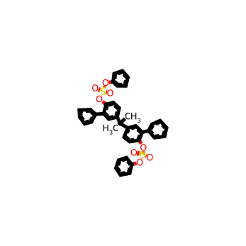 CC(C)(c1ccc(OS(=O)(=O)Oc2ccccc2)c(-c2ccccc2)c1)c1ccc(OS(=O)(=O)Oc2ccccc2)c(-c2ccccc2)c1